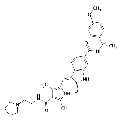 COc1ccc([C@H](C)NC(=O)c2ccc3c(c2)NC(=O)C3=Cc2[nH]c(C)c(C(=O)NCCN3CCCC3)c2C)cc1